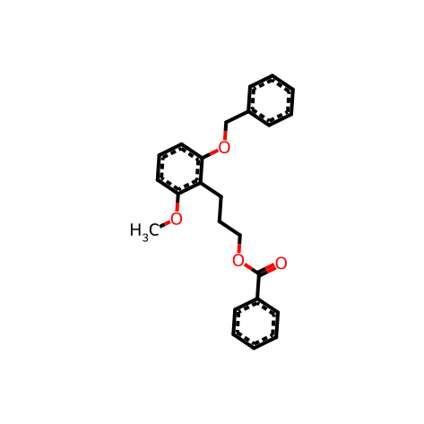 COc1cccc(OCc2ccccc2)c1CCCOC(=O)c1ccccc1